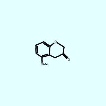 COc1cccc2c1CC(=O)CO2